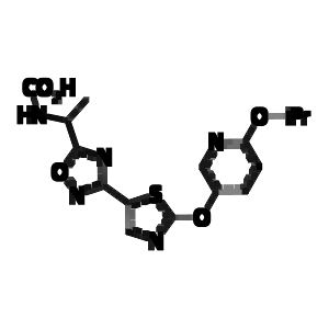 CC(C)Oc1ccc(Oc2ncc(-c3noc(C(C)NC(=O)O)n3)s2)cn1